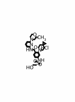 C[C@H]1CN(c2cccc(NC(=O)c3ccc(NS(=O)(=O)CCO)cc3N3CCC4(CC3)CC4)n2)CCO1.Cl